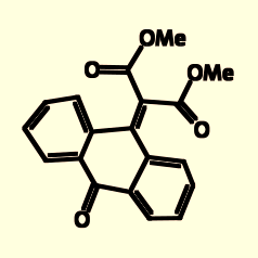 COC(=O)C(C(=O)OC)=C1c2ccccc2C(=O)c2ccccc21